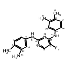 Cc1ccc(Nc2ncc(F)c(Nc3ccc(C)c(N)c3)n2)cc1N